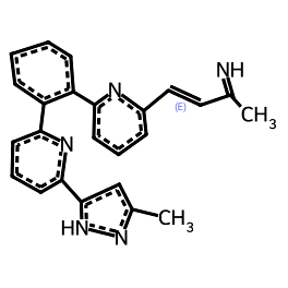 CC(=N)/C=C/c1cccc(-c2ccccc2-c2cccc(-c3cc(C)n[nH]3)n2)n1